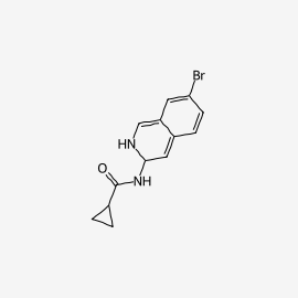 O=C(NC1C=c2ccc(Br)cc2=CN1)C1CC1